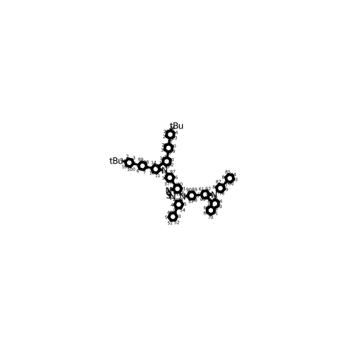 CC(C)(C)c1ccc(-c2ccc(-c3ccc4c(c3)c3cc(-c5ccc(-c6ccc(C(C)(C)C)cc6)cc5)ccc3n4-c3ccc(-c4ccc(N(c5ccc(-c6ccccc6)cc5)c5ccc(-c6ccc7c(c6)c6c8ccccc8ccc6n7-c6ccc(-c7ccccc7)cc6)cc5)c5nsnc45)cc3)cc2)cc1